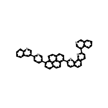 c1ccc2ncc(-c3ccc(-c4ccc5ccc6c(-c7ccc8ccc9ccc(-c%10cncc%11ccccc%10%11)nc9c8n7)ccc7ccc4c5c76)cn3)cc2c1